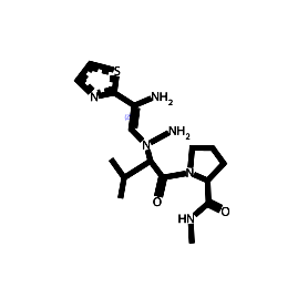 CNC(=O)C1CCCN1C(=O)C(C(C)C)N(N)/C=C(\N)c1nccs1